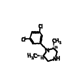 C[C@@H]1CNC[C@H](C)N1c1cc(Cl)cc(Cl)c1